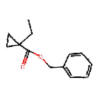 CCC1(C(=O)OCc2ccccc2)CC1